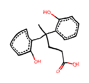 CC(CCC(=O)O)(c1ccccc1O)c1ccccc1O